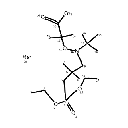 CCOP(=O)(CC(C)(C)CN(OC(C)(C)C(=O)[O-])C(C)(C)C)OCC.[Na+]